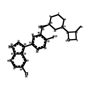 C[C]1COC1N1CCC[C@H](Nc2nc(-c3c[nH]c4ncc(Cl)cc34)ncc2F)C1